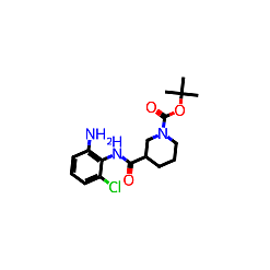 CC(C)(C)OC(=O)N1CCCC(C(=O)Nc2c(N)cccc2Cl)C1